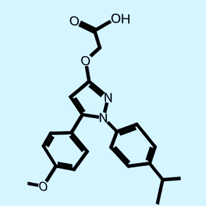 COc1ccc(-c2cc(OCC(=O)O)nn2-c2ccc(C(C)C)cc2)cc1